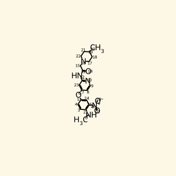 CNc1ccc(Oc2ccnc(NC(=O)CN3CCC(C)CC3)c2)cc1[N+](=O)[O-]